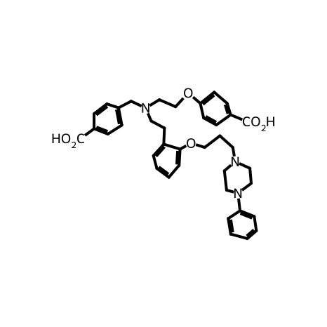 O=C(O)c1ccc(CN(CCOc2ccc(C(=O)O)cc2)CCc2ccccc2OCCCN2CCN(c3ccccc3)CC2)cc1